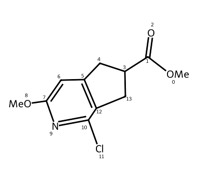 COC(=O)C1Cc2cc(OC)nc(Cl)c2C1